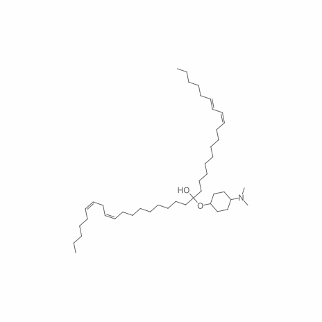 CCCCC/C=C\C/C=C\CCCCCCCCC(O)(CCCCCCCC/C=C\C=C\CCCCC)OC1CCC(N(C)C)CC1